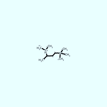 CC(CCS(C)(C)C)[SH](C)C